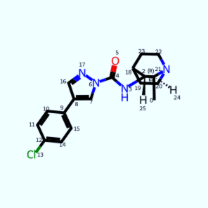 C[C@H]1[C@H](NC(=O)n2cc(-c3ccc(Cl)cc3)cn2)C2CCN1CC2